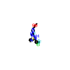 CCOC(=O)CCN1CCN(c2ncnc(Nc3nc(-c4ccc(Cl)c(C(F)(F)F)c4)c(CN4[C@H](C)CC[C@H]4C)s3)c2F)CC1